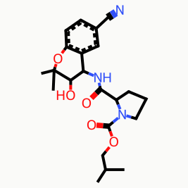 CC(C)COC(=O)N1CCCC1C(=O)NC1c2cc(C#N)ccc2OC(C)(C)C1O